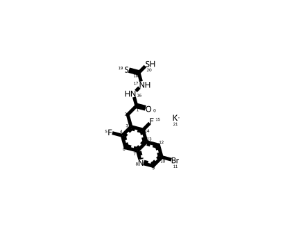 O=C(Cc1c(F)cc2ncc(Br)cc2c1F)NNC(=S)S.[K]